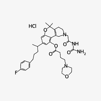 CC(CCCc1ccc(F)cc1)c1cc(OC(=O)CCCN2CCOCC2)c2c(c1)OC(C)(C)C1=C2CN(CC(=O)NC(N)=O)CC1.Cl